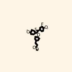 COC(=O)/C=C/c1ccc(Oc2c(-c3ccc(OC)c(F)c3)sc3cc(OC)ccc23)cc1